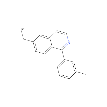 Cc1cccc(-c2nccc3cc(CC(C)C)ccc23)c1